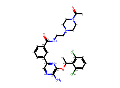 CC(=O)N1CCN(CCNC(=O)c2cccc(-c3cnc(N)c(OC(C)c4c(Cl)cccc4Cl)n3)c2)CC1